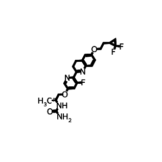 C[C@@H](COc1cnc(C2=Nc3ccc(OCCC4CC4(F)F)cc3CC2)c(F)c1)NC(N)=O